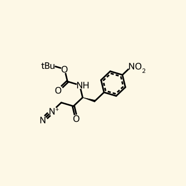 CC(C)(C)OC(=O)N[C@@H](Cc1ccc([N+](=O)[O-])cc1)C(=O)C[N+]#N